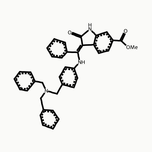 COC(=O)c1ccc2c(c1)NC(=O)C2=C(Nc1ccc(CN(Cc2ccccc2)Cc2ccccc2)cc1)c1ccccc1